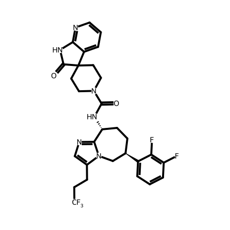 O=C(N[C@@H]1CC[C@@H](c2cccc(F)c2F)Cn2c(CCC(F)(F)F)cnc21)N1CCC2(CC1)C(=O)Nc1ncccc12